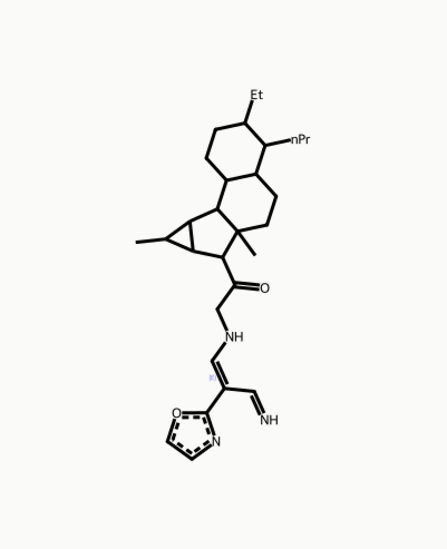 CCCC1C(CC)CCC2C1CCC1(C)C(C(=O)CN/C=C(\C=N)c3ncco3)C3C(C)C3C21